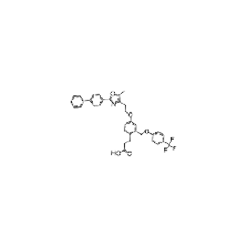 Cc1oc(-c2ccc(-c3ccccc3)cc2)nc1CCOc1ccc(CCC(=O)O)c(COc2ccc(C(F)(F)F)cc2)c1